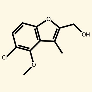 COc1c(Cl)ccc2oc(CO)c(C)c12